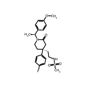 COc1ccc([C@H](C)N2CC[C@](CCNS(C)(=O)=O)(c3ccc(F)cc3)CC2=O)cc1